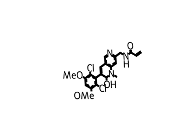 C=CC(=O)NCc1cc2c(cn1)C=C(c1c(Cl)c(OC)cc(OC)c1Cl)C(O)N2C